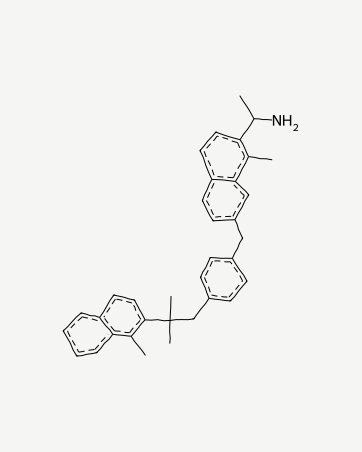 Cc1c(C(C)N)ccc2ccc(Cc3ccc(CC(C)(C)c4ccc5ccccc5c4C)cc3)cc12